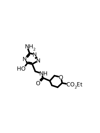 CCOC(=O)C1CCC(C(=O)NCc2nnc(N)nc2O)CO1